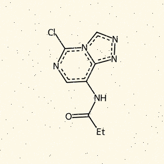 CCC(=O)Nc1cnc(Cl)n2cnnc12